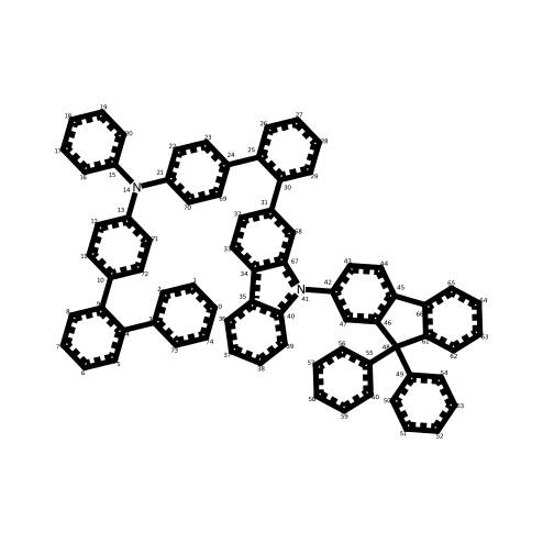 c1ccc(-c2ccccc2-c2ccc(N(c3ccccc3)c3ccc(-c4ccccc4-c4ccc5c6ccccc6n(-c6ccc7c(c6)C(c6ccccc6)(c6ccccc6)c6ccccc6-7)c5c4)cc3)cc2)cc1